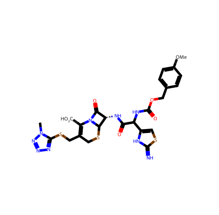 COc1ccc(COC(=O)NC(C(=O)N[C@H]2C(=O)N3C(C(=O)O)=C(CSc4nnnn4C)CSC23)c2csc(=N)[nH]2)cc1